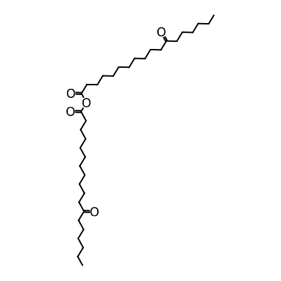 CCCCCCC(=O)CCCCCCCCCCC(=O)OC(=O)CCCCCCCCCCC(=O)CCCCCC